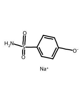 NS(=O)(=O)c1ccc([O-])cc1.[Na+]